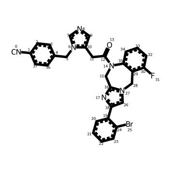 [C-]#[N+]c1ccc(Cn2cncc2CC(=O)N2Cc3nc(-c4ccccc4Br)cn3Cc3c(F)cccc32)cc1